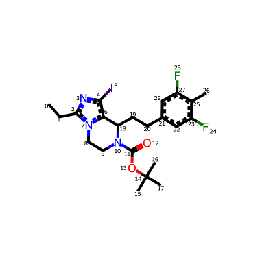 CCc1nc(I)c2n1CCN(C(=O)OC(C)(C)C)C2CCc1cc(F)c(C)c(F)c1